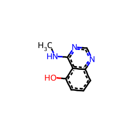 CNc1ncnc2cccc(O)c12